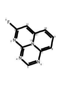 FC1=NC2=NC=NC3=CC=CC(=C1)N32